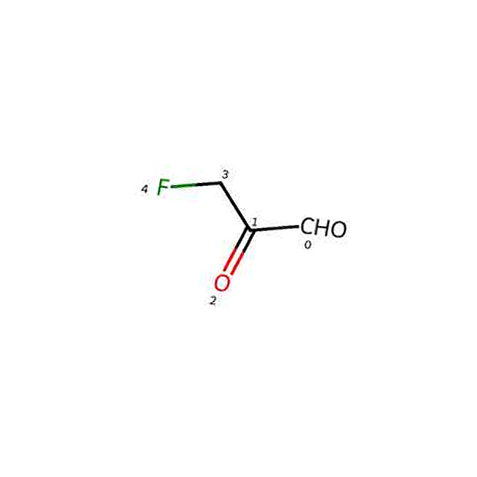 O=CC(=O)CF